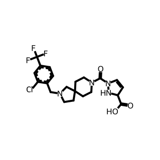 O=C(O)C1C=CN(C(=O)N2CCC3(CCN(Cc4ccc(C(F)(F)F)cc4Cl)C3)CC2)N1